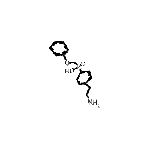 NCCc1ccc(P(=O)(O)COc2ccccc2)cc1